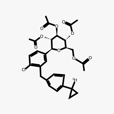 [2H]C1(c2ccc(Cc3cc([C@@H]4O[C@H](COC(C)=O)[C@@H](OC(C)=O)[C@H](OC(C)=O)[C@H]4OC(C)=O)ccc3Cl)cc2)CC1